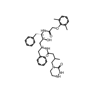 Cc1cccc(C)c1OCC(=O)N[C@@H](Cc1ccccc1)[C@@H](O)C[C@H](Cc1ccccc1)NC(=O)CC(C)CN1CCNNC1=O